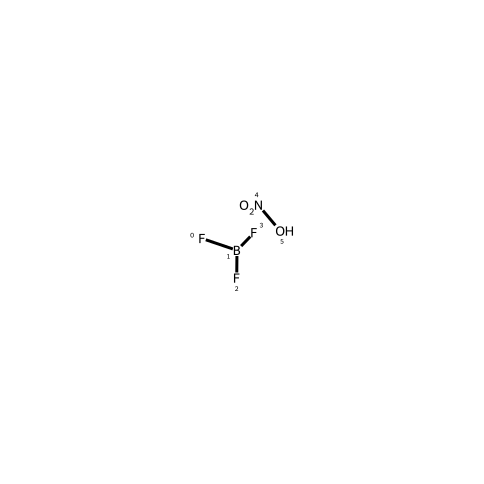 FB(F)F.O=[N+]([O-])O